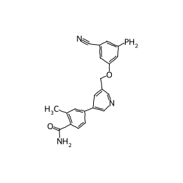 Cc1cc(-c2cncc(COc3cc(P)cc(C#N)c3)c2)ccc1C(N)=O